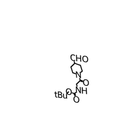 CC(C)(C)OC(=O)NCC(=O)N1CCC(C=O)CC1